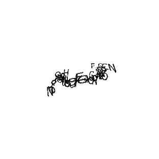 Cc1ncsc1-c1ccc(CNC(=O)[C@@H]2CCCN2C(=O)[C@@H](NC(=O)COCCOCCOc2ncc(N3C(=S)N(c4ccc(C#N)c(C(F)(F)F)c4F)C(=O)C3(C)C)cc2C(F)(F)F)C(C)(C)C)cc1